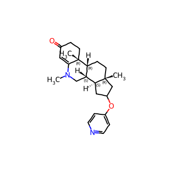 CN1C[C@@H]2[C@@H](CC[C@]3(C)CC(Oc4ccncc4)C[C@@H]23)[C@@]2(C)CCC(=O)C=C12